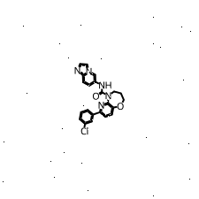 O=C(Nc1ccc2nccn2c1)N1CCCOc2ccc(-c3cccc(Cl)c3)nc21